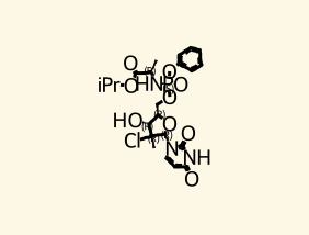 CC(C)OC(=O)[C@@H](C)N[P@](=O)(OC[C@H]1O[C@@H](n2ccc(=O)[nH]c2=O)[C@](C)(Cl)[C@@H]1O)Oc1ccccc1